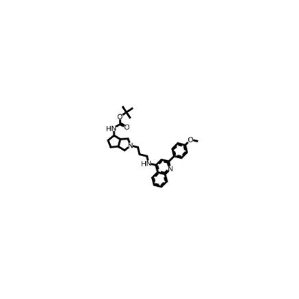 COc1ccc(-c2cc(NCCCN3CC4CCC(NC(=O)OC(C)(C)C)C4C3)c3ccccc3n2)cc1